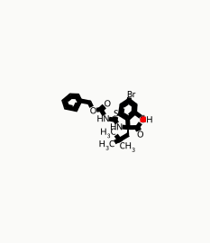 CC(C)(C)C[C@](NC(=S)NC(=O)OCc1ccccc1)(C(=O)O)c1ccc(Br)cc1F